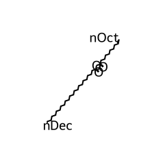 CCCCCCCC/C=C\CCCCCCCC(=O)OC(=O)CCCCCCCCCCCCCCCCCCCCCCCCCCCCCCC